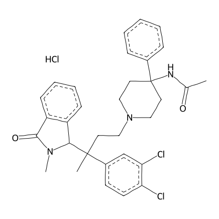 CC(=O)NC1(c2ccccc2)CCN(CCC(C)(c2ccc(Cl)c(Cl)c2)C2c3ccccc3C(=O)N2C)CC1.Cl